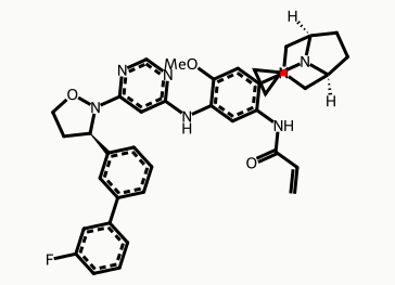 C=CC(=O)Nc1cc(Nc2cc(N3OCC[C@@H]3c3cccc(-c4cccc(F)c4)c3)ncn2)c(OC)cc1N1C[C@H]2CC[C@@H](C1)N2C1CC1